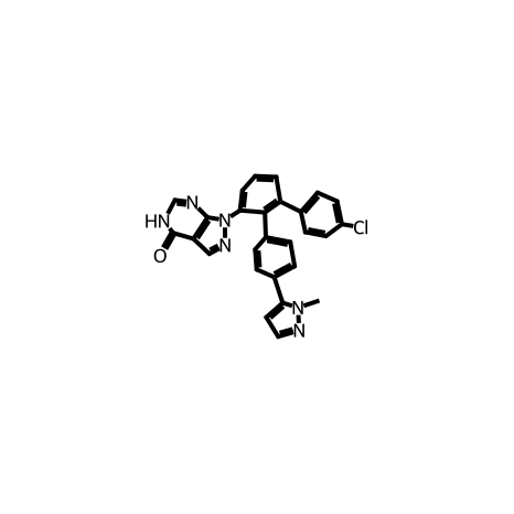 Cn1nccc1-c1ccc(-c2c(-c3ccc(Cl)cc3)cccc2-n2ncc3c(=O)[nH]cnc32)cc1